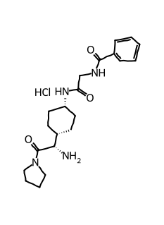 Cl.N[C@H](C(=O)N1CCCC1)[C@H]1CC[C@@H](NC(=O)CNC(=O)c2ccccc2)CC1